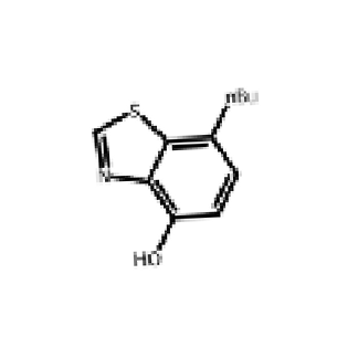 CCCCc1ccc(O)c2ncsc12